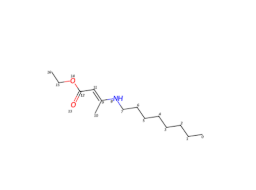 CCCCCCCCN/C(C)=C/C(=O)OCC